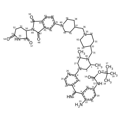 CC1CN(c2cc(C(=N)c3cc(NC(=O)OC(C)(C)C)ccc3N)ccn2)CC(C)N1CC1CCN(CC2CCN(c3ccc4c(c3)C(=O)N(C3CCC(=O)NC3=O)C4=O)CC2)CC1